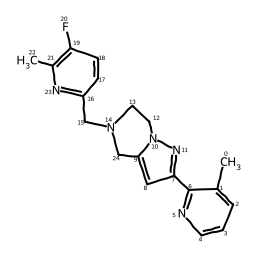 Cc1cccnc1-c1cc2n(n1)CCN(Cc1ccc(F)c(C)n1)C2